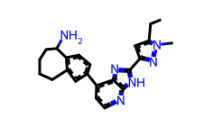 CCc1cc(-c2nc3c(-c4ccc5c(c4)CCCCC5N)ccnc3[nH]2)nn1C